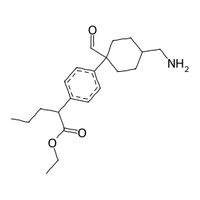 CCCC(C(=O)OCC)c1ccc(C2(C=O)CCC(CN)CC2)cc1